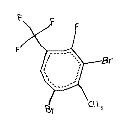 Cc1c(Br)cc(C(F)(F)F)c(F)c1Br